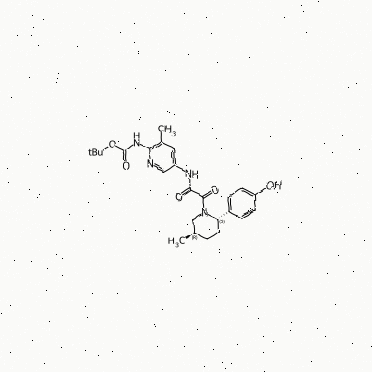 Cc1cc(NC(=O)C(=O)N2C[C@H](C)CC[C@H]2c2ccc(O)cc2)cnc1NC(=O)OC(C)(C)C